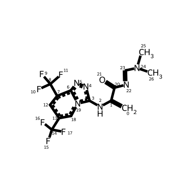 C=C(Nc1nnc2c(C(F)(F)F)cc(C(F)(F)F)cn12)C(=O)N=CN(C)C